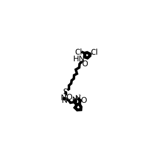 Cn1nc(Cc2nnc(SCCCCCCCCCCC(=O)Nc3ccc(Cl)cc3Cl)o2)c2ccccc2c1=O